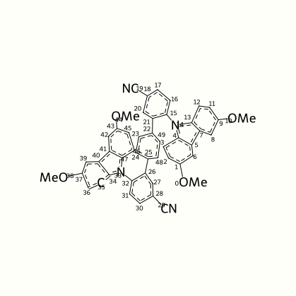 COc1ccc2c(c1)c1cc(OC)ccc1n2-c1ccc(C#N)cc1-c1ccc(-c2cc(C#N)ccc2-n2c3ccc(OC)cc3c3cc(OC)ccc32)cc1